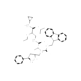 CCC[C@H](NC(=O)[C@@H]1C[C@]2(CC(c3ccccc3)=NO2)CN1C(=O)OCC1c2ccccc2-c2ccccc21)C(OCC)C(=O)NC1CC1